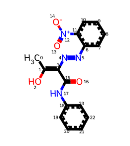 C/C(O)=C(\N=N\c1ccccc1[N+](=O)[O-])C(=O)Nc1ccccc1